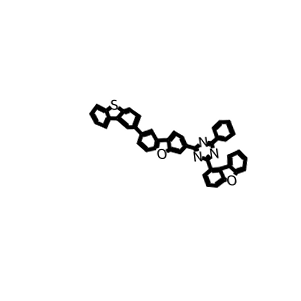 c1ccc(-c2nc(-c3ccc4c(c3)oc3ccc(-c5ccc6sc7ccccc7c6c5)cc34)nc(-c3cccc4oc5ccccc5c34)n2)cc1